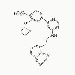 O=C(O)c1ccc(-c2cc(NCCc3cccc4cccnc34)ncn2)cc1OC1CCC1